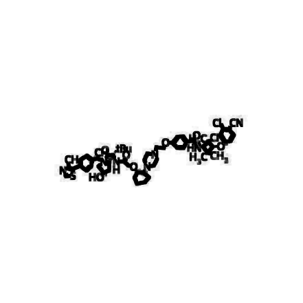 Cc1ncsc1-c1ccc([C@H](C)[N+]2(C(=O)[C@@H](NC(=O)CO[C@H]3CCCC[C@@H]3N3CCN(CCOc4ccc(C(=O)N[C@H]5C(C)(C)[C@H](Oc6ccc(C#N)c(Cl)c6)C5(C)C)cc4)CC3)C(C)(C)C)CC[C@@H](O)C2)cc1